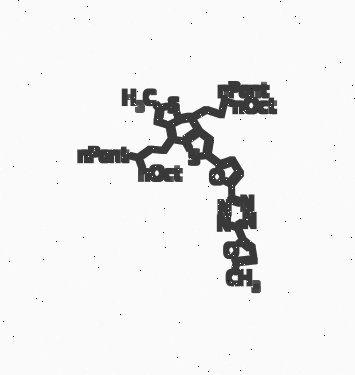 CCCCCCCCC(CCCCC)CCc1c2cc(-c3ccc(-c4nnc(-c5ccc(C)o5)nn4)o3)sc2c(CCC(CCCCC)CCCCCCCC)c2cc(C)sc12